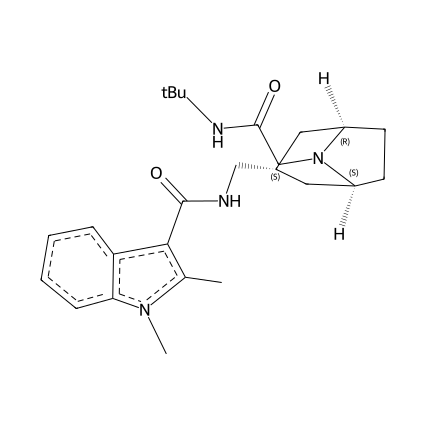 Cc1c(C(=O)NC[C@@H]2C[C@H]3CC[C@@H](C2)N3CC(=O)NC(C)(C)C)c2ccccc2n1C